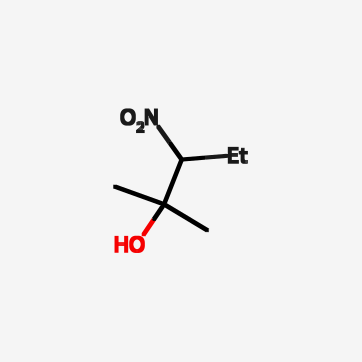 CCC([N+](=O)[O-])C(C)(C)O